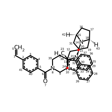 C=Cc1ccc(C(=O)N2CCC(CCN3[C@@H]4CC[C@H]3C[C@@H](n3c(C)nc5ccccc53)C4)(c3ccccc3)CC2)cc1